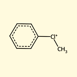 C[Cl+]c1ccccc1